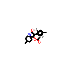 CCc1cc(C)ccc1C1=C(OC(=O)C(C)C)C2(CCC(C)CC2)NC1=O